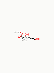 C=C(C(=O)OCCCCCC)C(O)CCCCCO